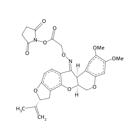 C=C(C)[C@H]1Cc2c(ccc3c2O[C@@H]2COc4cc(OC)c(OC)cc4[C@@H]2/C3=N/OCC(=O)ON2C(=O)CCC2=O)O1